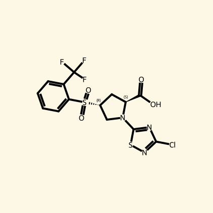 O=C(O)[C@@H]1C[C@@H](S(=O)(=O)c2ccccc2C(F)(F)F)CN1c1nc(Cl)ns1